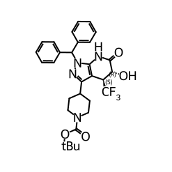 CC(C)(C)OC(=O)N1CCC(c2nn(C(c3ccccc3)c3ccccc3)c3c2[C@H](C(F)(F)F)[C@@H](O)C(=O)N3)CC1